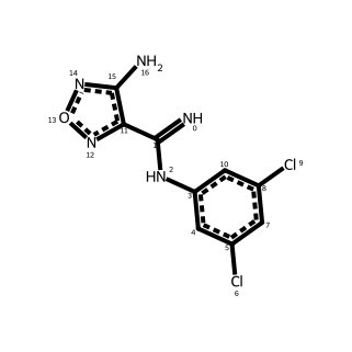 N=C(Nc1cc(Cl)cc(Cl)c1)c1nonc1N